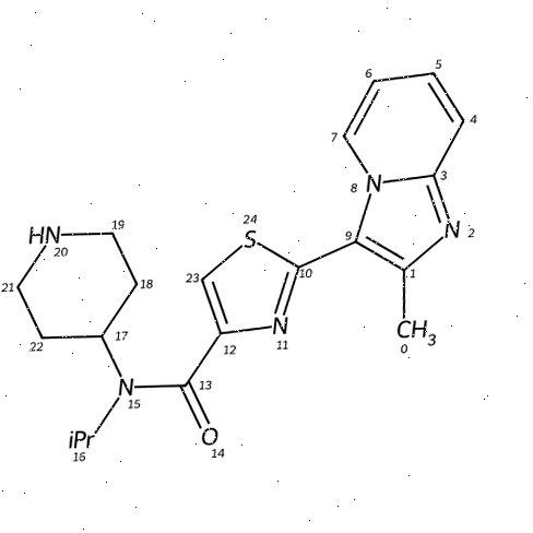 Cc1nc2ccccn2c1-c1nc(C(=O)N(C(C)C)C2CCNCC2)cs1